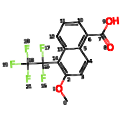 COc1ccc2c(C(=O)O)cccc2c1C(F)(F)C(F)(F)F